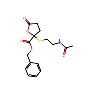 CC(=O)NCCSC1(C(=O)OCc2ccccc2)CCC(=O)O1